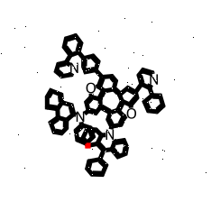 C1=CC2=C(c3ccccc3)c3ccccc3N(c3cc4oc5cc(-c6cccnc6-c6ccccc6)cc6c7ccc(-c8ccc(-c9ccccc9-c9ccccn9)cc8)c8oc9cc(N(c%10ccccc%10)c%10cc%11ccccc%11c%11ccccc%10%11)cc(c(c3)c4c56)c9c87)C2C=C1